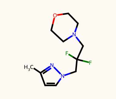 Cc1ccn(CC(F)(F)CN2CCOCC2)n1